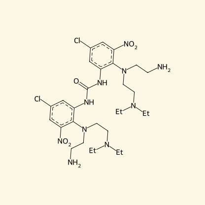 CCN(CC)CCN(CCN)c1c(NC(=O)Nc2cc(Cl)cc([N+](=O)[O-])c2N(CCN)CCN(CC)CC)cc(Cl)cc1[N+](=O)[O-]